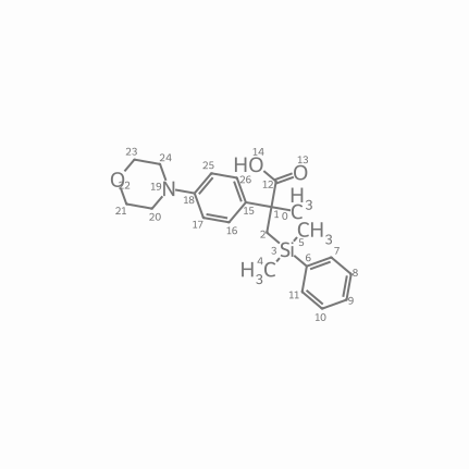 CC(C[Si](C)(C)c1ccccc1)(C(=O)O)c1ccc(N2CCOCC2)cc1